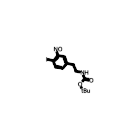 CC(C)(C)OC(=O)NCCc1ccc(I)c(N=O)c1